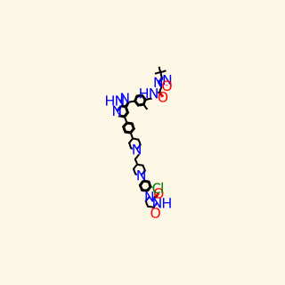 Cc1cc(-c2n[nH]c3ncc(-c4ccc(C5CCN(CCC6CCN(c7ccc(N8CCC(=O)NC8=O)c(Cl)c7)CC6)CC5)cc4)cc23)ccc1CNC(=O)c1nc(C(C)(C)C)no1